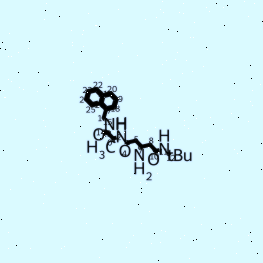 C[C@H](NC(=O)C[C@@H](N)CC(=O)NC(C)(C)C)C(=O)NCc1cccc2ccccc12